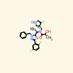 CC(O)C(=O)N(C[C@H]1CNC[C@@H]1F)[C@@H](c1nc(-c2cc(F)ccc2F)nn1Cc1ccccc1)C(C)(C)C